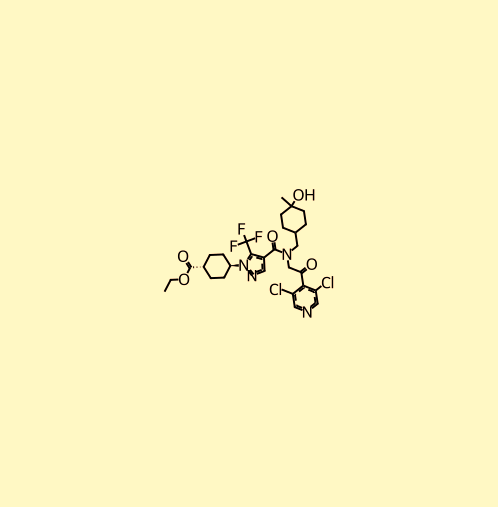 CCOC(=O)[C@H]1CC[C@H](n2ncc(C(=O)N(CC(=O)c3c(Cl)cncc3Cl)CC3CCC(C)(O)CC3)c2C(F)(F)F)CC1